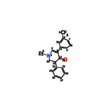 CCN1C=C(c2cccc(C(F)(F)F)c2)C(=O)C(c2ccccc2)C1